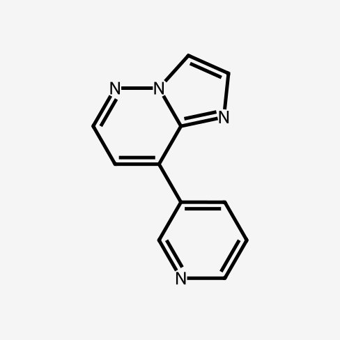 c1cncc(-c2ccnn3ccnc23)c1